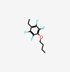 CCCCOc1c(F)c(F)c(CC)c(F)c1F